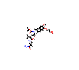 C=C(C)OC(=O)N[C@@H](C[C@H](Cc1ccc(OC)c(OCCCOC)c1)C(C)C)[C@@H](O)C[C@H](C(=O)NCC(C)(C)C(N)=O)C(C)C